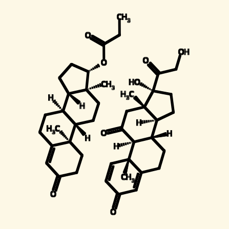 CCC(=O)O[C@H]1CC[C@H]2[C@@H]3CCC4=CC(=O)CC[C@]4(C)[C@H]3CC[C@]12C.C[C@]12C=CC(=O)C=C1CC[C@@H]1[C@@H]2C(=O)C[C@@]2(C)[C@H]1CC[C@]2(O)C(=O)CO